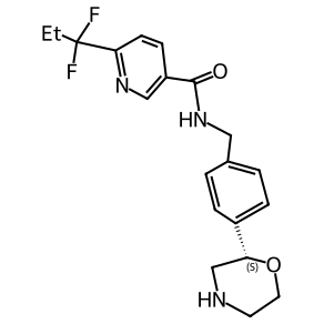 CCC(F)(F)c1ccc(C(=O)NCc2ccc([C@H]3CNCCO3)cc2)cn1